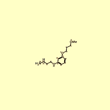 COCCCOc1cccc(OCCNN)c1